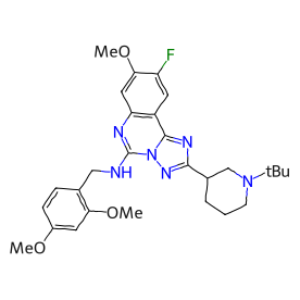 COc1ccc(CNc2nc3cc(OC)c(F)cc3c3nc(C4CCCN(C(C)(C)C)C4)nn23)c(OC)c1